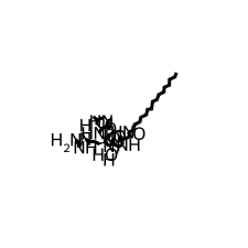 CCCCCCCCCCCCCCCC(=O)NCC(=O)N[C@@H](CO)C(=O)N[C@@H](CCCNC(=N)N)C(=O)N[C@@H](CC(C)C)C(=O)NC